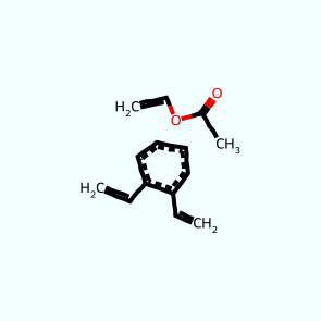 C=COC(C)=O.C=Cc1ccccc1C=C